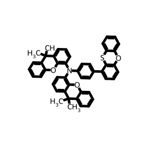 CC1(C)c2ccccc2Oc2c(N(c3ccc(-c4cccc5c4Sc4ccccc4O5)cc3)c3cccc4c3Oc3ccccc3C4(C)C)cccc21